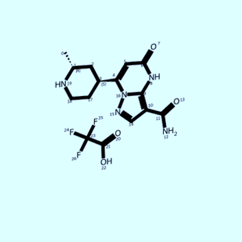 C[C@@H]1C[C@@H](c2cc(=O)[nH]c3c(C(N)=O)cnn23)CCN1.O=C(O)C(F)(F)F